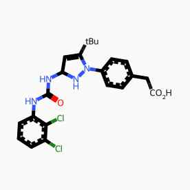 CC(C)(C)C1=CC(NC(=O)Nc2cccc(Cl)c2Cl)NN1c1ccc(CC(=O)O)cc1